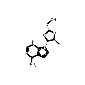 C[C@@H]1O[C@@H](CO)O[C@H]1n1ccc2c1NC=NC2N